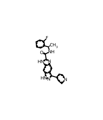 C[C@@H](NC(=O)c1nc2cc3c(-c4ccncc4)n[nH]c3cc2[nH]1)c1ccccc1F